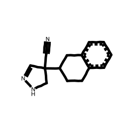 N#CC1(C2CCc3ccccc3C2)C=NNC1